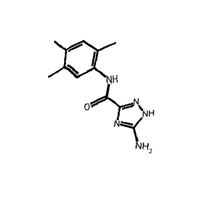 Cc1cc(C)c(NC(=O)c2n[nH]c(N)n2)cc1C